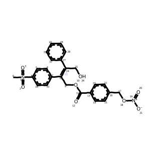 CS(=O)(=O)c1ccc(/C(COC(=O)c2ccc(CO[N+](=O)[O-])cc2)=C(/CO)c2ccccc2)cc1